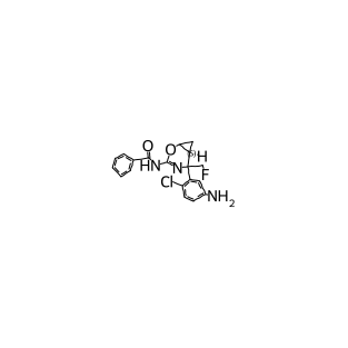 Nc1ccc(Cl)c(C2(CF)N=C(NC(=O)c3ccccc3)OC3C[C@H]32)c1